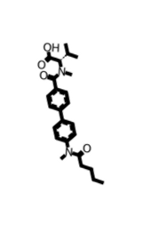 CCCCC(=O)N(C)c1ccc(-c2ccc(C(=O)N(C)[C@H](C(=O)O)C(C)C)cc2)cc1